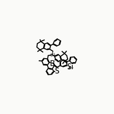 Cc1cc2c3c(c1)-c1cccc4sc(-c5ccc6c(c5)[Si](C)(C)c5ccccc5-6)c(c14)B3c1cc3c(cc1[C@H](Cc1cc4c(cc1-c1ccccc1)C(C)(C)CCC4(C)C)C2)C(C)(C)CCC3(C)C